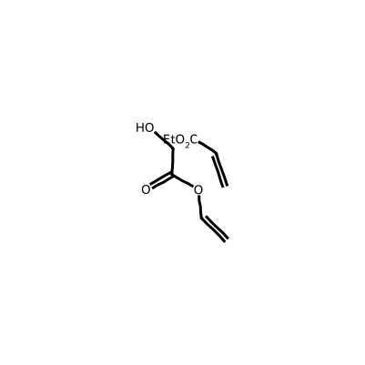 C=CC(=O)OCC.C=COC(=O)CO